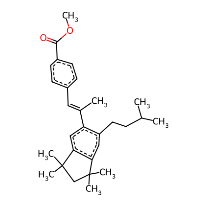 COC(=O)c1ccc(/C=C(\C)c2cc3c(cc2CCC(C)C)C(C)(C)CC3(C)C)cc1